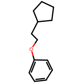 [c]1ccc(OCCC2CCCC2)cc1